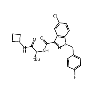 CC(C)(C)[C@H](NC(=O)c1nn(Cc2ccc(F)cc2)c2ccc(Cl)cc12)C(=O)NC1CCC1